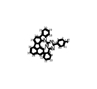 Fc1ccc(-c2nc(-c3ccccc3)nc(-n3c4ccccc4c4ccc5c(c43)-c3cccc4cccc-5c34)n2)cc1